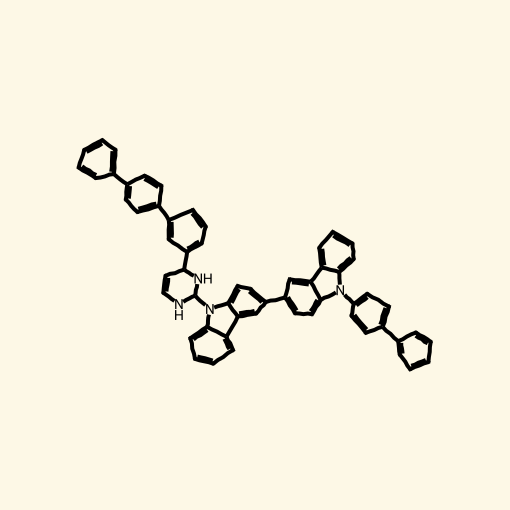 C1=CC(c2cccc(-c3ccc(-c4ccccc4)cc3)c2)NC(n2c3ccccc3c3cc(-c4ccc5c(c4)c4ccccc4n5-c4ccc(-c5ccccc5)cc4)ccc32)N1